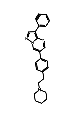 c1cccc(-c2cnn3cc(-c4ccc(CCN5CCCCC5)cc4)cnc23)c#1